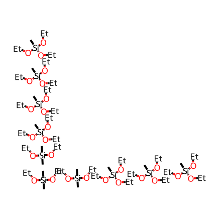 CCO[Si](C)(C)OCC.CCO[Si](C)(C)OCC.CCO[Si](C)(C)OCC.CCO[Si](C)(OCC)OCC.CCO[Si](C)(OCC)OCC.CCO[Si](C)(OCC)OCC.CCO[Si](C)(OCC)OCC.CCO[Si](C)(OCC)OCC.CCO[Si](C)(OCC)OCC.CCO[Si](C)(OCC)OCC